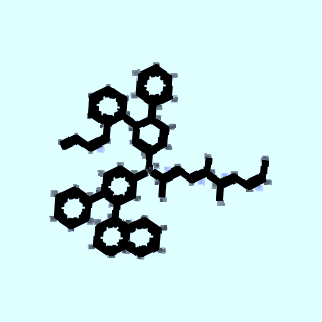 C=C/C=C\c1ccccc1C1C=C(N(/C(C)=C/C=C(C)/C(C)=C/C=C\C)c2ccc(-c3ccccc3)c(-c3cccc4ccccc34)c2)C=CC1c1ccccc1